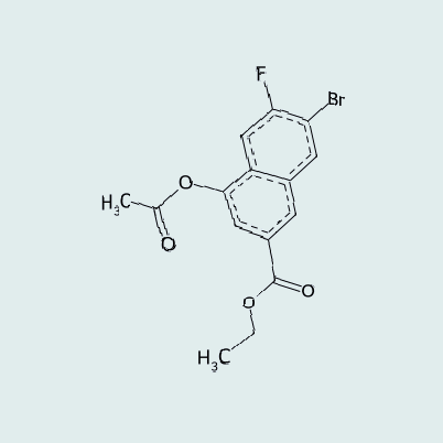 CCOC(=O)c1cc(OC(C)=O)c2cc(F)c(Br)cc2c1